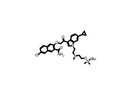 CN(CCO[Si](C)(C)C(C)(C)C)CCn1cc(C(=O)COc2cc3ccc(Cl)cc3cc2C(N)=O)c2ccc(C3CC3)cc21